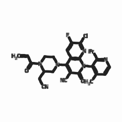 C=CC(=O)N1CCN(c2c(C#N)c(=O)n(-c3c(C)ccnc3C(C)C)c3nc(Cl)c(F)cc23)CC1CC#N